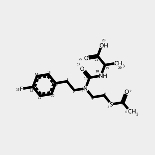 CC(=O)SCCN(CCc1ccc(F)cc1)C(=O)NC(C)C(=O)O